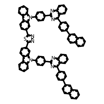 c1ccc2cc(-c3ccc(-c4nc(-c5ccc(-n6c7ccccc7c7ccc(-c8nnc(-c9ccc%10c%11ccccc%11n(-c%11ccc(-c%12nc(-c%13ccc(-c%14ccc%15ccccc%15c%14)cc%13)c%13ccccc%13n%12)cc%11)c%10c9)s8)cc76)cc5)nc5ccccc45)cc3)ccc2c1